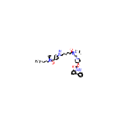 CNCCCN(C(=O)c1ccc(NCCCCCC(=O)N(C)CCN2CCC(OC(=O)Nc3ccccc3-c3ccccc3)CC2)cc1)C1CC1